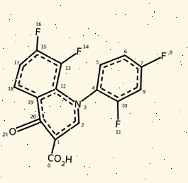 O=C(O)c1cn(-c2ccc(F)cc2F)c2c(F)c(F)ccc2c1=O